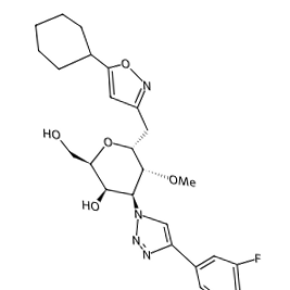 CO[C@@H]1[C@@H](n2cc(-c3ccc(Cl)c(F)c3)nn2)[C@@H](O)[C@@H](CO)O[C@@H]1Cc1cc(C2CCCCC2)on1